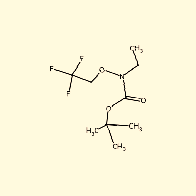 CCN(OCC(F)(F)F)C(=O)OC(C)(C)C